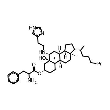 CC(C)CCCC(C)[C@H]1CC[C@H]2[C@@H]3C[C@@H](NCCc4c[nH]cn4)[C@@]4(O)C[C@@H](OC(=O)C(N)Cc5ccccc5)CC[C@]4(C)[C@H]3CC[C@]12C